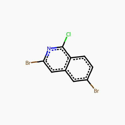 Clc1nc(Br)cc2cc(Br)ccc12